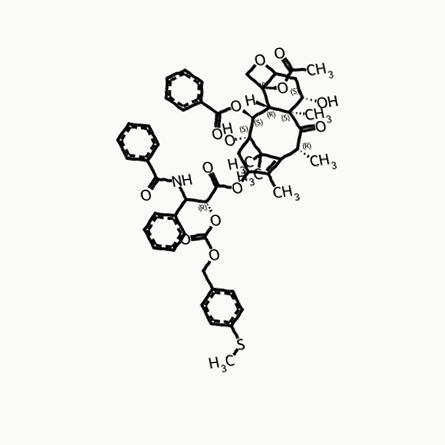 CSc1ccc(COC(=O)O[C@@H](C(=O)OC2C[C@@]3(O)[C@@H](OC(=O)c4ccccc4)[C@H]4[C@](C)(C(=O)[C@H](C)C(=C2C)C3(C)C)[C@@H](O)CC2OC[C@]24OC(C)=O)C(NC(=O)c2ccccc2)c2ccccc2)cc1